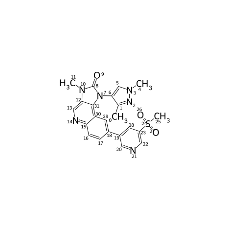 Cc1nn(C)cc1-n1c(=O)n(C)c2cnc3ccc(-c4cncc(S(C)(=O)=O)c4)cc3c21